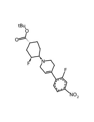 CC(C)(C)OC(=O)[C@@H]1CC[C@@H](N2CC=C(c3ccc([N+](=O)[O-])cc3F)CC2)[C@@H](F)C1